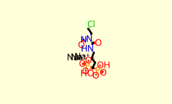 O=NN(CCCl)C(=O)NCCCC(O)(P(=O)([O-])[O-])P(=O)([O-])O.[Na+].[Na+].[Na+]